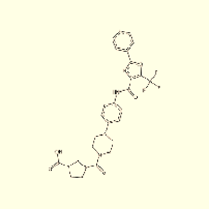 O=C(Nc1ccc(N2CCN(C(=O)N3CCC(C(=O)O)C3)CC2)cc1)c1nc(-c2ccccc2)oc1C(F)(F)F